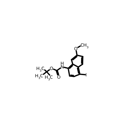 COc1ccc2c(I)ccc(NC(=O)OC(C)(C)C)c2c1